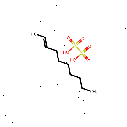 CC=CCCCCCCC.O=S(=O)(O)S(=O)(=O)O